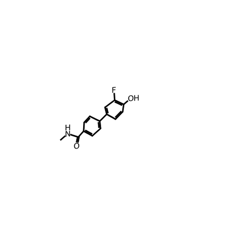 CNC(=O)c1ccc(-c2ccc(O)c(F)c2)cc1